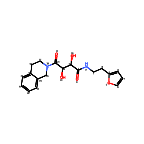 O=C(NCCc1ccco1)[C@H](O)[C@@H](O)C(=O)N1CCc2ccccc2C1